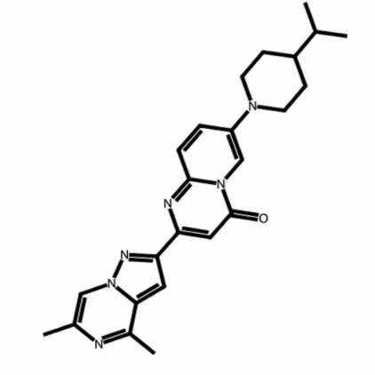 Cc1cn2nc(-c3cc(=O)n4cc(N5CCC(C(C)C)CC5)ccc4n3)cc2c(C)n1